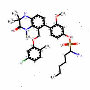 CCCCCC(N)S(=O)(=O)Oc1ccc(-c2ccc3c(c2COc2cc(F)ccc2C)N(C)C(=O)C(C)(C)N3)c(OC)c1